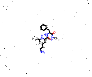 CNC(=O)C(Cc1ccccc1)NC(=O)C(CCCCN)NC(C)C